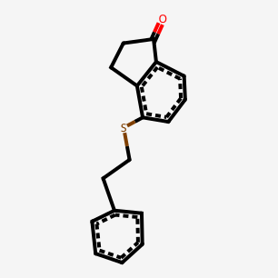 O=C1CCc2c(SCCc3ccccc3)cccc21